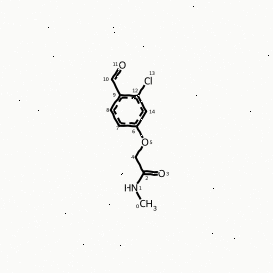 CNC(=O)COc1ccc(C=O)c(Cl)c1